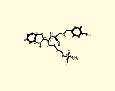 NS(=O)(=O)NCCCC[C@H](NC(=O)COCc1ccc(F)cc1)C1Cc2ccccc2N1